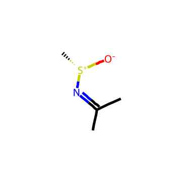 CC(C)=N[S@+](C)[O-]